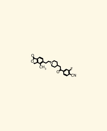 Cc1c(CCN2CCC(CC(=O)c3ccc(C#N)c(F)c3)CC2)ccc2c1COC2=O